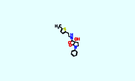 Cc1ccc(CCNC(=O)[C@@]2(O)CCN(c3ccccc3)C2=O)s1